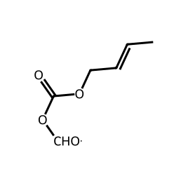 CC=CCOC(=O)O[C]=O